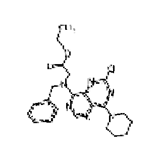 CCOC(=O)CN(Cc1ccccc1)c1ncnc2c(N3CCCCC3)nc(Cl)nc12